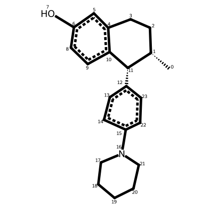 C[C@H]1CCc2cc(O)ccc2[C@H]1c1ccc(N2CCCCC2)cc1